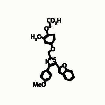 COc1ccc(-c2nc(COc3ccc(OCC(=O)O)c(C)c3)sc2-c2cc3ccccc3o2)cc1